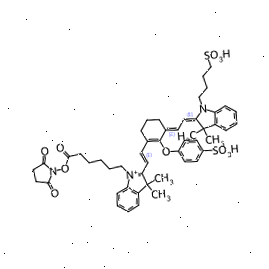 CC1(C)C(/C=C/C2=C(Oc3ccc(S(=O)(=O)O)cc3)C(=C/C=C3/N(CCCCS(=O)(=O)O)c4ccccc4C3(C)C)/CCC2)=[N+](CCCCCC(=O)ON2C(=O)CCC2=O)c2ccccc21